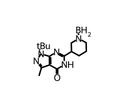 BN1CCCC(c2nc3c(c(C)nn3C(C)(C)C)c(=O)[nH]2)C1